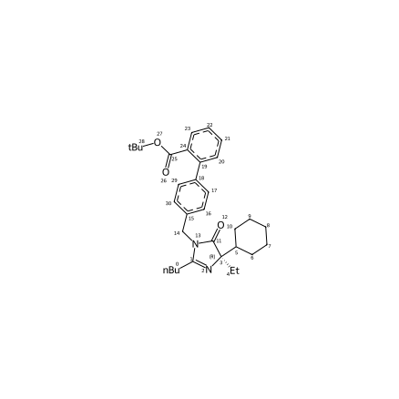 CCCCC1=N[C@](CC)(C2CCCCC2)C(=O)N1Cc1ccc(-c2ccccc2C(=O)OC(C)(C)C)cc1